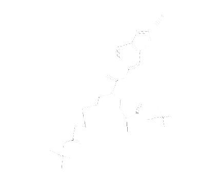 CN(CCN(CCCCCC(=O)OC(C)(C)C)C(=O)Oc1ccc2nc(C#N)sc2c1)C(=O)OC(C)(C)C